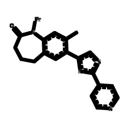 Cc1cc2c(cc1-c1csc(-c3ccncc3)n1)CCCC(=O)N2C(C)C